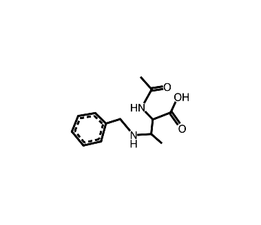 CC(=O)NC(C(=O)O)C(C)NCc1ccccc1